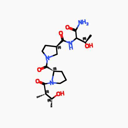 C[C@H](C(=O)N1CCC[C@H]1C(=O)N1CC[C@@H](C(=O)NC(C(N)=O)[C@@H](C)O)C1)[C@@H](C)O